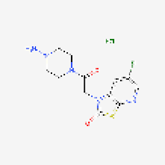 Cl.NN1CCN(C(=O)Cn2c(=O)sc3ncc(Cl)cc32)CC1